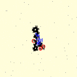 CS(=O)(=O)c1cnn(C(CC2CCCC2)C(=O)Nc2ccn(Cc3ccccc3)n2)c1